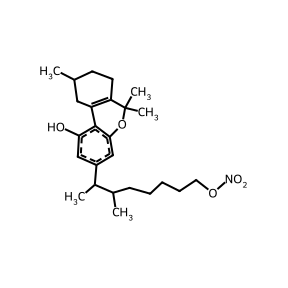 CC1CCC2=C(C1)c1c(O)cc(C(C)C(C)CCCCCO[N+](=O)[O-])cc1OC2(C)C